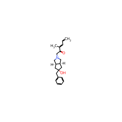 C=C/C=C(\C)C(=O)CN1C[C@@H]2C[C@@](O)(Cc3ccccc3)C[C@@H]2C1